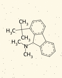 CN(C)C1c2ccccc2-c2cccc(C(C)(C)C)c21